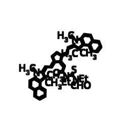 CCN(C=O)C(=S)N(CC)C(=O)C=C1/C(=C/C=C2/N(C)c3ccc4ccccc4c3C2(C)C)CC/C1=C\C=C1\N(C)c2ccc3ccccc3c2C1(C)C